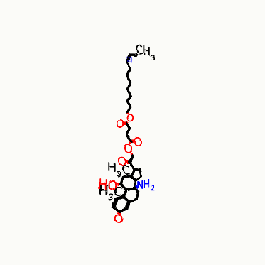 CC/C=C\CCCCCCCCOC(=O)CCC(=O)OCC(=O)C1CCC2C1(C)CC(O)C1C3(C)C=CC(=O)C=C3CCC12N